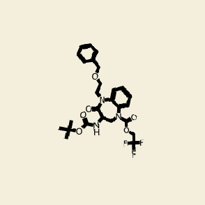 CC(C)(C)OC(=O)NC1CN(C(=O)OCC(F)(F)F)c2ccccc2N(CCOCc2ccccc2)C1=O